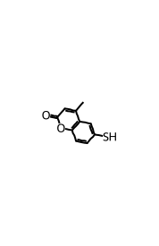 Cc1cc(=O)oc2ccc(S)cc12